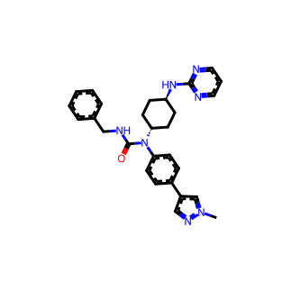 Cn1cc(-c2ccc(N(C(=O)NCc3ccccc3)[C@H]3CC[C@H](Nc4ncccn4)CC3)cc2)cn1